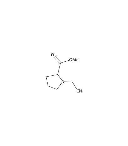 COC(=O)C1CCCN1CC#N